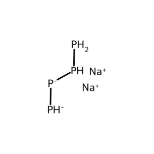 [Na+].[Na+].[PH-][P-]PP